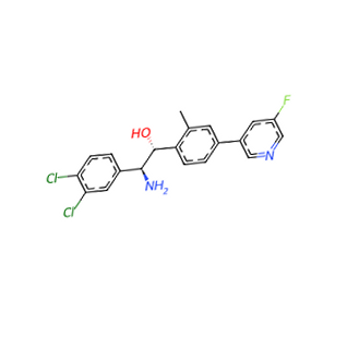 Cc1cc(-c2cncc(F)c2)ccc1[C@@H](O)[C@@H](N)c1ccc(Cl)c(Cl)c1